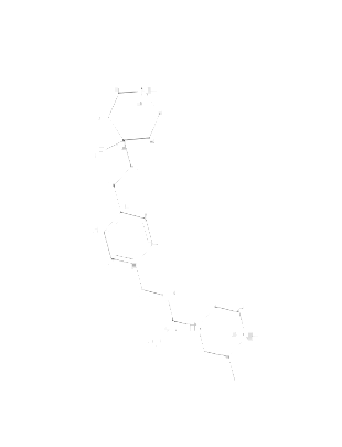 CC1CN(C(=O)OCc2ccc(CCC3(F)CCNCC3)cc2)CCN1